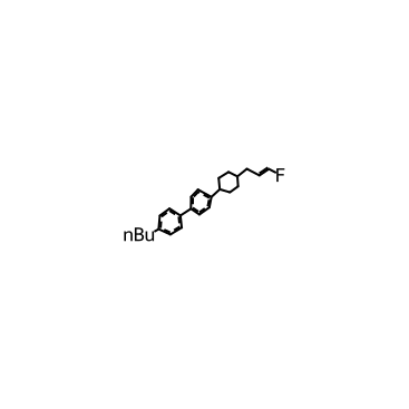 CCCCc1ccc(-c2ccc(C3CCC(CC=CF)CC3)cc2)cc1